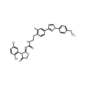 Cc1cc(-c2ncn(-c3ccc(OC(F)(F)F)cc3)n2)ccc1CCNC(=O)N=C1SCC(=O)N1c1cc(Cl)ccc1C(C)C